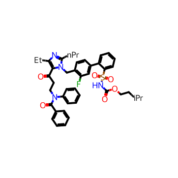 CCCc1nc(CC)c(C(=O)CCN(C(=O)c2ccccc2)c2ccccc2)n1Cc1ccc(-c2ccccc2S(=O)(=O)NC(=O)OCCC(C)C)cc1F